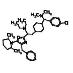 CCN(CC)C(CC1CCC(C(c2ccc(Cl)cc2)N(C)C)CC1)c1nc(Cc2ccccc2)c(N2C(C)CCCC2C)o1